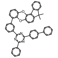 CC1(C)c2ccccc2-c2c1ccc1c2Oc2cccc(-c3cccc(-c4nc(-c5ccccc5)nc(-c5ccc(-c6ccccc6)cc5)n4)c3)c2O1